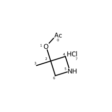 CC(=O)OC1(C)CNC1.Cl